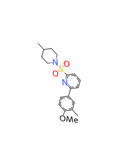 COc1ccc(-c2cccc(S(=O)(=O)N3CCC(C)CC3)n2)cc1C